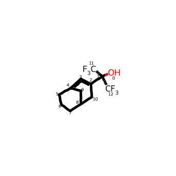 OC(C1=C=C2CCCC(C2)C1)(C(F)(F)F)C(F)(F)F